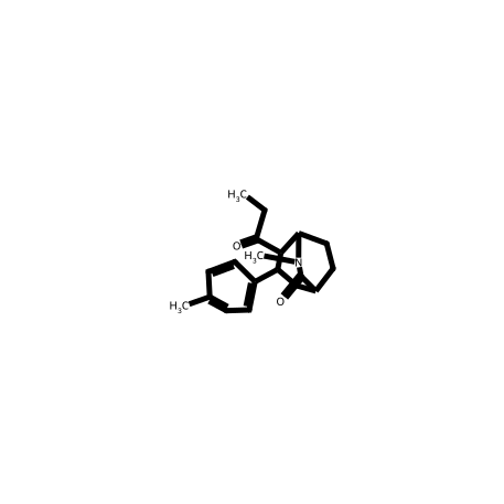 CCC(=O)C1C(c2ccc(C)cc2)CC2CCC1N(C)C2=O